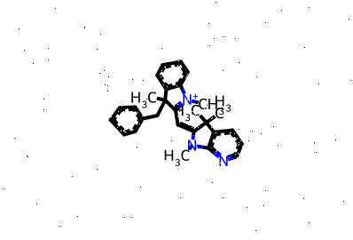 CN1C(=CC2=[N+](C)c3ccccc3C2(C)Cc2ccccc2)C(C)(C)c2cccnc21